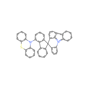 c1ccc2c(c1)Sc1ccccc1N2c1cccc2c1-c1ccccc1C21c2ccccc2-n2c3ccccc3c3cccc1c32